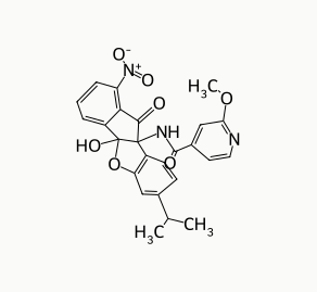 COc1cc(C(=O)NC23C(=O)c4c([N+](=O)[O-])cccc4C2(O)Oc2cc(C(C)C)ccc23)ccn1